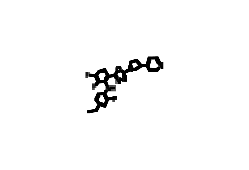 CCc1ccc(Nc2c(-c3nnc(N4CCC(c5ccncc5)C4)o3)ccc(F)c2F)c(F)c1